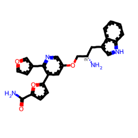 NC(=O)c1ccc(-c2cc(OC[C@@H](N)Cc3c[nH]c4ccccc34)cnc2-c2ccoc2)o1